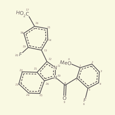 COc1cccc(F)c1C(=O)n1nc(-c2ccc(C(=O)O)cc2F)c2ccccc21